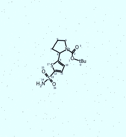 CC(C)(C)OC(=O)N1CCCC1c1ccc(S(N)(=O)=O)s1